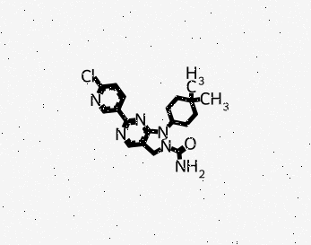 CC1(C)CCC(N2c3nc(-c4ccc(Cl)nc4)ncc3CN2C(N)=O)CC1